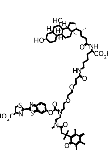 C=C1C(C)=C(C)C(=O)C(C(C)(C)CC(=O)N(C)CCN(CCOCCOCCC(=O)NCCCCC(NC(=O)CC[C@@H](C)[C@H]2CC[C@H]3[C@@H]4[C@@H](O)C[C@@H]5C[C@H](O)CC[C@]5(C)[C@H]4CC[C@]23C)C(=O)O)C(=O)Oc2ccc3nc(C4=NC(C(=O)O)CS4)sc3c2)=C1C